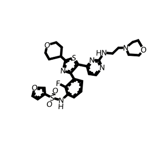 O=S(=O)(Nc1cccc(-c2nc(C3CCOCC3)sc2-c2ccnc(NCCN3CCOCC3)n2)c1F)c1ccoc1